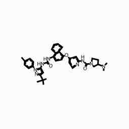 Cc1ccc(-n2nc(C(C)(C)C)cc2NC(=O)Nc2ccc(Oc3ccnc(NC(=O)N4CCC(N(C)C)C4)c3)c3ccccc23)cc1